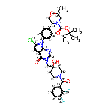 C[C@H]1CN(C(=O)OC(C)(C)C)[C@H](c2ccc(-n3c(Cl)cc4c(=O)n(CC5(O)CCN(C(=O)c6cccc(F)c6F)CC5)cnc43)cc2)CO1